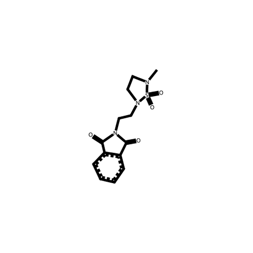 CN1CCN(CCN2C(=O)c3ccccc3C2=O)S1(=O)=O